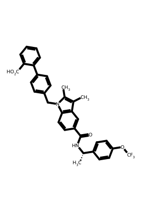 Cc1c(C)n(Cc2ccc(-c3ccccc3C(=O)O)cc2)c2ccc(C(=O)N[C@@H](C)c3ccc(OC(F)(F)F)cc3)cc12